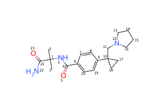 CC(C)(NC(=O)c1ccc(C2(CN3CCCC3)CC2)cc1)C(N)=O